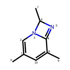 CC1=CN2C(=NC2C)C(C)=C1